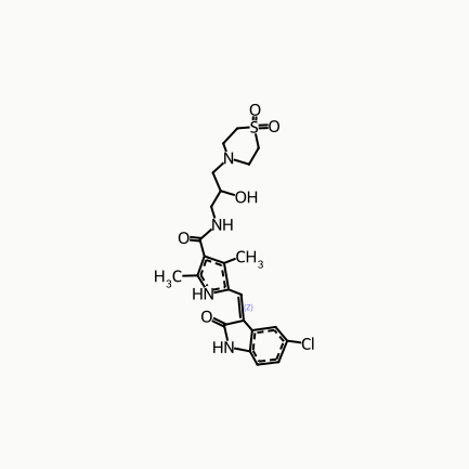 Cc1[nH]c(/C=C2\C(=O)Nc3ccc(Cl)cc32)c(C)c1C(=O)NCC(O)CN1CCS(=O)(=O)CC1